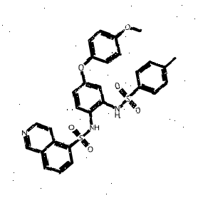 COc1ccc(Oc2ccc(NS(=O)(=O)c3cccc4cnccc34)c(NS(=O)(=O)c3ccc(C)cc3)c2)cc1